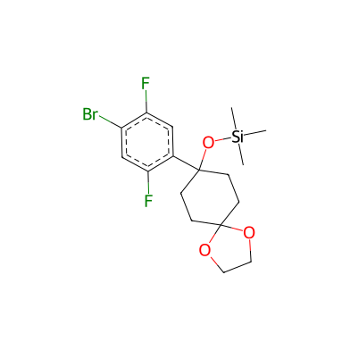 C[Si](C)(C)OC1(c2cc(F)c(Br)cc2F)CCC2(CC1)OCCO2